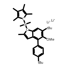 COc1c(C(C)(C)C)cc2c(cc(C)[c-]2[Si](C)(C)[c-]2c(C)c(C)c(C)c2C)c1-c1ccc(C(C)(C)C)cc1.[Li+].[Li+]